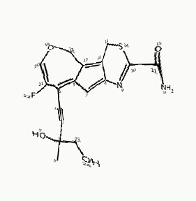 CC(O)(C#CC1=C2C=C3N=C(C(N)=O)SCC3=C2COC=C1F)CO